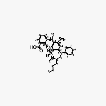 CCCCC1CN(c2ccccc2)c2cc(SC)c(N(C)c3cccc(C(=O)O)c3F)cc2S(=O)(=O)N1C